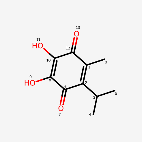 CC1=C(C(C)C)C(=O)C(O)=C(O)C1=O